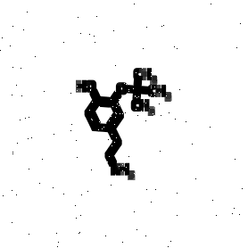 CC(C)(C)Oc1cc(CCN)ccc1O